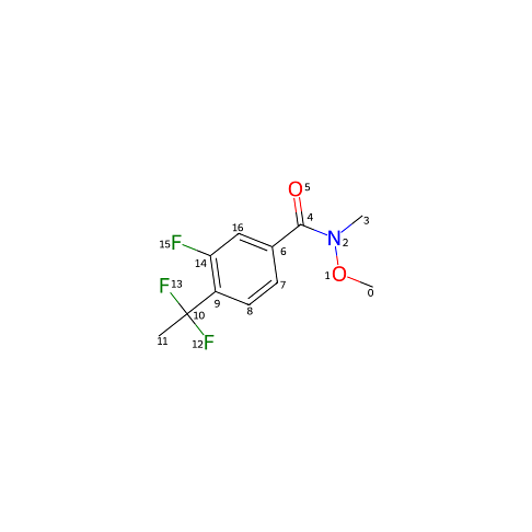 CON(C)C(=O)c1ccc(C(C)(F)F)c(F)c1